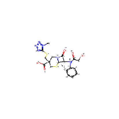 Cn1nnnc1SCC1(C(=O)O)CS[C@@H]2C(N(C(=O)CO)c3ccccc3)C(=O)N2C1